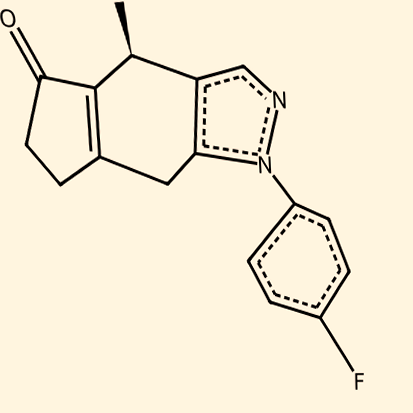 C[C@@H]1C2=C(CCC2=O)Cc2c1cnn2-c1ccc(F)cc1